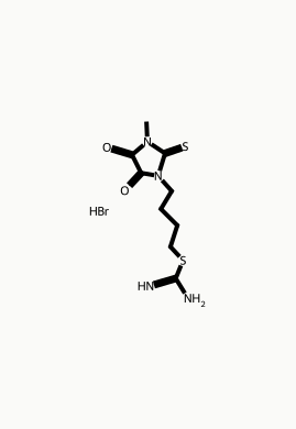 Br.CN1C(=O)C(=O)N(CCCCSC(=N)N)C1=S